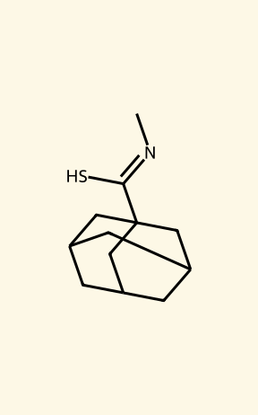 C/N=C(\S)C12CC3CC(CC(C3)C1)C2